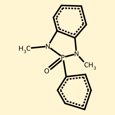 CN1c2ccccc2N(C)P1(=O)c1ccccc1